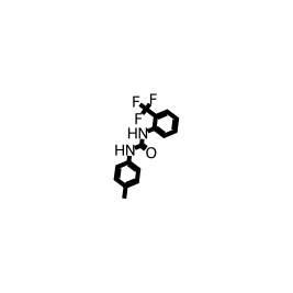 Cc1ccc(NC(=O)Nc2ccccc2C(F)(F)F)cc1